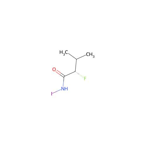 CC(C)[C@H](F)C(=O)NI